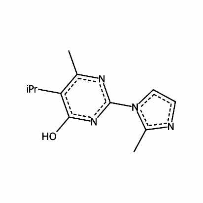 Cc1nc(-n2ccnc2C)nc(O)c1C(C)C